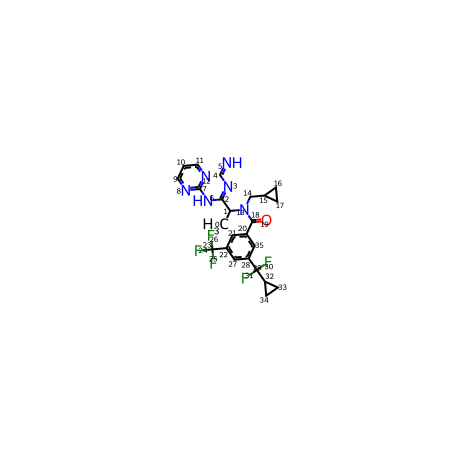 CC(/C(=N/C=N)Nc1ncccn1)N(CC1CC1)C(=O)c1cc(C(F)(F)F)cc(C(F)(F)C2CC2)c1